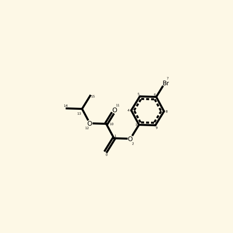 C=C(Oc1ccc(Br)cc1)C(=O)OC(C)C